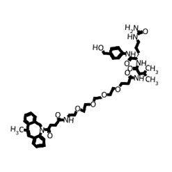 C/C1=C/c2ccccc2N(C(=O)CCC(=O)NCCOCCOCCOCCOCCC(=O)N[C@H](C(=O)N[C@@H](CCCNC(N)=O)C(=O)Nc2ccc(CO)cc2)C(C)C)Cc2ccccc21